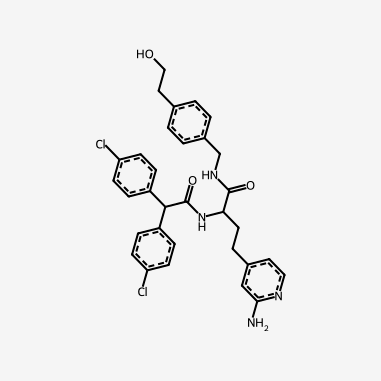 Nc1cc(CCC(NC(=O)C(c2ccc(Cl)cc2)c2ccc(Cl)cc2)C(=O)NCc2ccc(CCO)cc2)ccn1